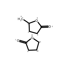 CC1CCC(=O)O1.O=C1CCCO1